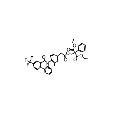 CCOC(=O)C(COC(=O)Cc1ccc(NC(=O)c2cc(C(F)(F)F)ccc2-c2ccccc2)c(C)c1)(C(=O)OCC)c1ccccc1